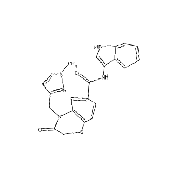 Cn1ccc(CN2C(=O)CSc3ccc(C(=O)Nc4c[nH]c5ccccc45)cc32)n1